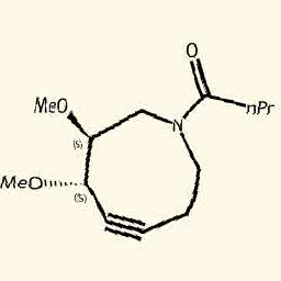 CCCC(=O)N1CCC#C[C@H](OC)[C@@H](OC)C1